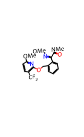 CNC(=O)/C(=N\OC)c1ccccc1COc1nc(OC)ccc1C(F)(F)F